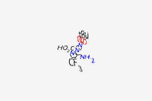 CC(C)(C)OC(=O)N1CCN(c2ncc(C(F)(F)F)cc2CN)C(C(=O)O)C1